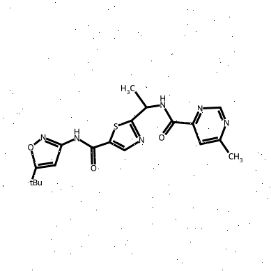 Cc1cc(C(=O)NC(C)c2ncc(C(=O)Nc3cc(C(C)(C)C)on3)s2)ncn1